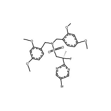 COc1ccc(CN(Cc2ccc(OC)cc2OC)S(=O)(=O)C[C@@](C)(F)c2ncc(Br)cn2)c(OC)c1